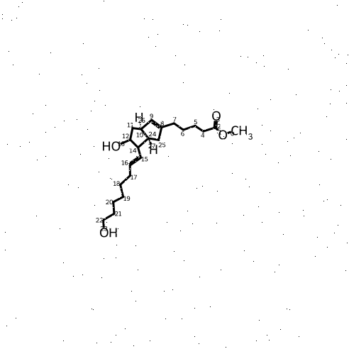 COC(=O)CCCCC1=C[C@@H]2CC(O)C(C=CCCCCCCO)[C@H]2C1